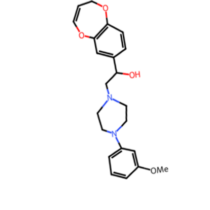 COc1cccc(N2CCN(CC(O)c3ccc4c(c3)OC=CCO4)CC2)c1